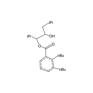 CCCCc1cccc(C(=O)OC(C(C)C)C(O)CC(C)C)c1CCCC